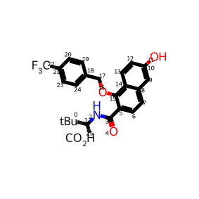 CC(C)(C)C(NC(=O)c1ccc2cc(O)ccc2c1OCc1ccc(C(F)(F)F)cc1)C(=O)O